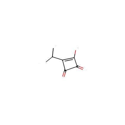 CC(C)c1c(O)c(=O)c1=O